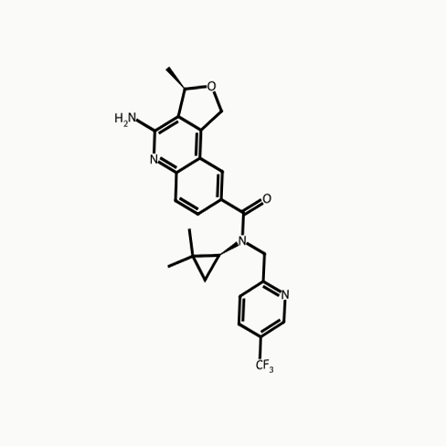 C[C@H]1OCc2c1c(N)nc1ccc(C(=O)N(Cc3ccc(C(F)(F)F)cn3)[C@H]3CC3(C)C)cc21